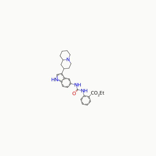 CCOC(=O)c1ccccc1NC(=O)Nc1ccc2[nH]cc(C3CCN4CCCCC4C3)c2c1